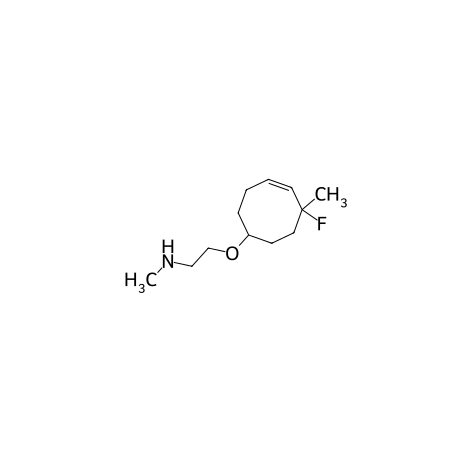 CNCCOC1CC/C=C\C(C)(F)CC1